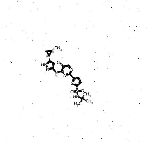 C[C@@H]1C[C@H]1c1cc(Nc2nc(-c3ccc(S(=O)(=O)NC(C)(C)C)s3)ncc2Cl)n[nH]1